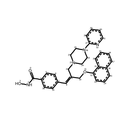 O=C(NO)c1ccc(C=C(COc2cccc3ccccc23)CN2CCN(c3ccccn3)CC2)cc1